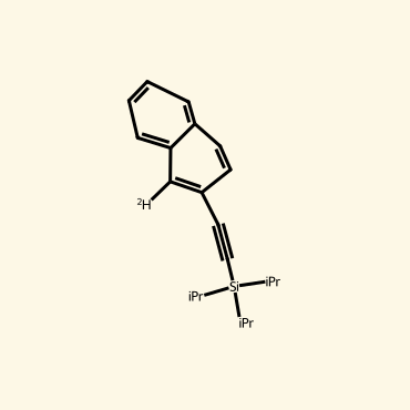 [2H]c1c(C#C[Si](C(C)C)(C(C)C)C(C)C)ccc2ccccc12